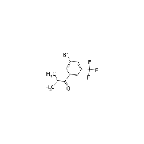 CC(C)C(=O)c1cc(Br)cc(C(F)(F)F)c1